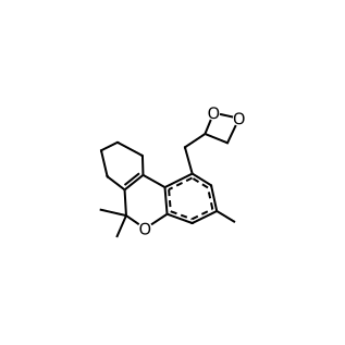 Cc1cc(CC2COO2)c2c(c1)OC(C)(C)C1=C2CCCC1